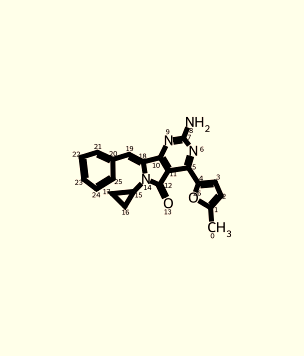 Cc1ccc(-c2nc(N)nc3c2C(=O)N(C2CC2)C3=Cc2ccccc2)o1